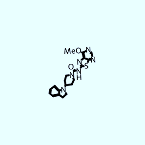 COc1ncnc2sc(NC(=O)N3CCC(N4CCc5ccccc54)CC3)nc12